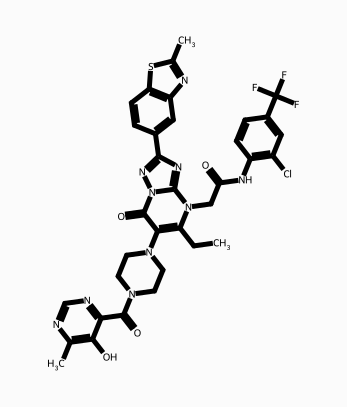 CCc1c(N2CCN(C(=O)c3ncnc(C)c3O)CC2)c(=O)n2nc(-c3ccc4sc(C)nc4c3)nc2n1CC(=O)Nc1ccc(C(F)(F)F)cc1Cl